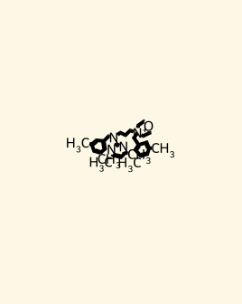 Cc1cc(C)cc(CN(CCC[N+]2(Cc3cc(C)cc(C)c3)CCOCC2)c2nc(C)cc(C)n2)c1